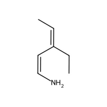 C/C=C(\C=C/N)CC